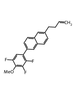 C=CCCc1ccc2cc(-c3cc(F)c(OC)c(F)c3F)ccc2c1